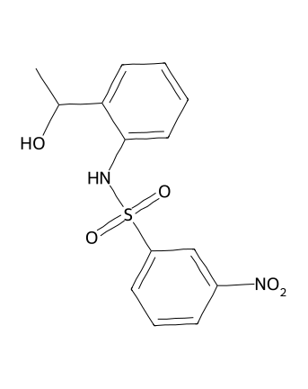 CC(O)c1ccccc1NS(=O)(=O)c1cccc([N+](=O)[O-])c1